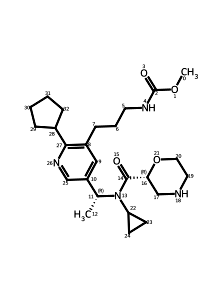 COC(=O)NCCCc1cc([C@@H](C)N(C(=O)[C@H]2CNCCO2)C2CC2)cnc1C1CCCC1